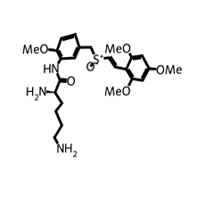 COc1cc(OC)c(C=C[S+]([O-])Cc2ccc(OC)c(NC(=O)[C@H](N)CCCCN)c2)c(OC)c1